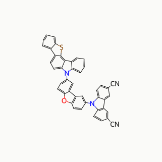 N#Cc1ccc2c(c1)c1cc(C#N)ccc1n2-c1ccc2oc3ccc(-n4c5ccccc5c5c6sc7ccccc7c6ccc54)cc3c2c1